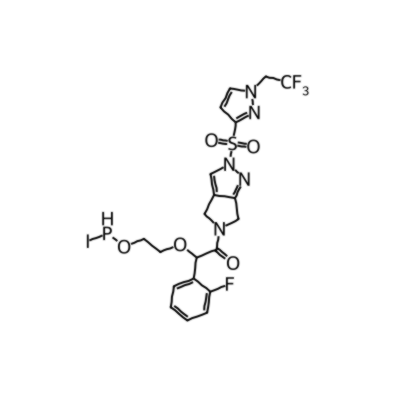 O=C(C(OCCOPI)c1ccccc1F)N1Cc2cn(S(=O)(=O)c3ccn(CC(F)(F)F)n3)nc2C1